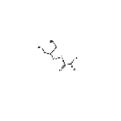 CCC([SiH3])C(=O)OOC(CC(C)C)CC(C)C